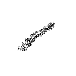 O=S(=O)(O)CCC(F)(F)C(F)(F)C(F)(F)C(F)(F)C(F)(F)C(F)(F)C(F)(F)C(F)(F)C(F)(F)C(F)(F)C(F)(F)C(F)(F)C(F)(F)F